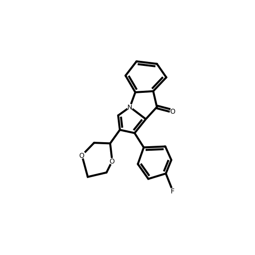 O=C1c2ccccc2-n2cc(C3COCCO3)c(-c3ccc(F)cc3)c21